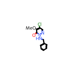 COc1c(Cl)cnn(NCc2ccccc2)c1=O